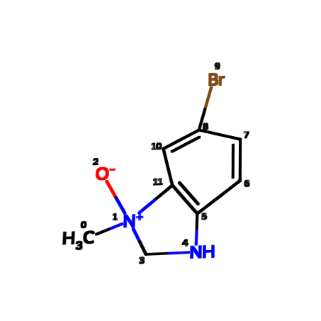 C[N+]1([O-])CNc2ccc(Br)cc21